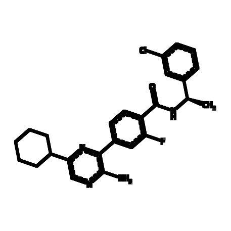 C[C@@H](NC(=O)c1ccc(-c2nc(C3CCCCC3)cnc2N)cc1F)c1cccc(Cl)c1